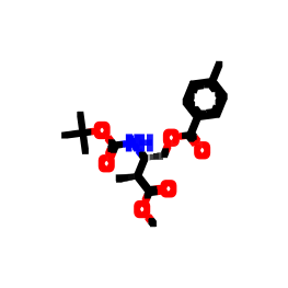 COC(=O)[C@@H](C)[C@@H](COC(=O)c1ccc(C)cc1)NC(=O)OC(C)(C)C